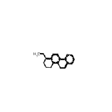 CCC1=c2ccc3c(c2CCC1)CC=c1ccccc1=3